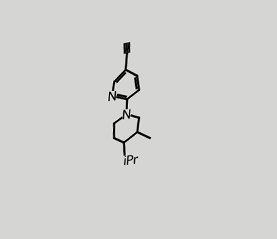 C#Cc1ccc(N2CCC(C(C)C)C(C)C2)nc1